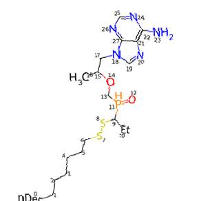 CCCCCCCCCCCCCCCCSSC(CC)[PH](=O)COC(C)Cn1cnc2c(N)ncnc21